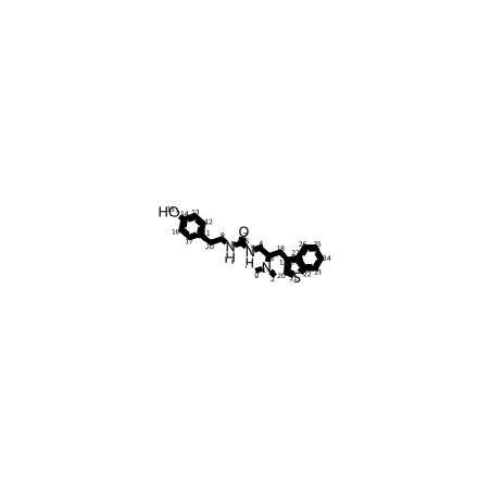 CN(C)C(CNC(=O)NCCc1ccc(O)cc1)Cc1csc2ccccc12